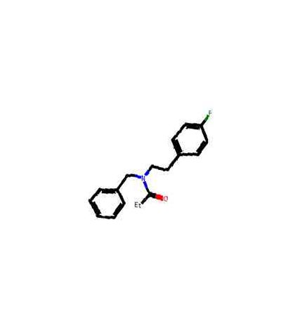 CCC(=O)N(CCc1ccc(F)cc1)Cc1ccccc1